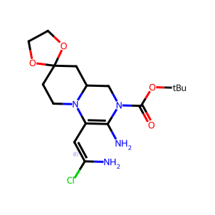 CC(C)(C)OC(=O)N1CC2CC3(CCN2C(/C=C(\N)Cl)=C1N)OCCO3